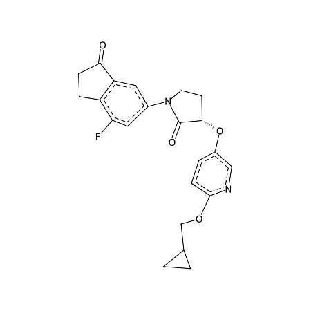 O=C1CCc2c(F)cc(N3CC[C@H](Oc4ccc(OCC5CC5)nc4)C3=O)cc21